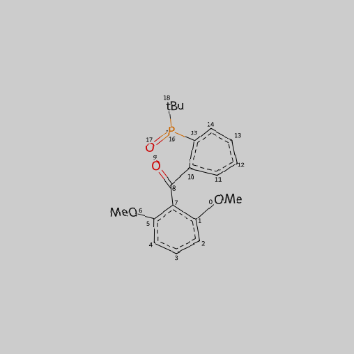 COc1cccc(OC)c1C(=O)c1ccccc1[P](=O)C(C)(C)C